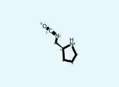 O=C=NC[C@@H]1CCCN1